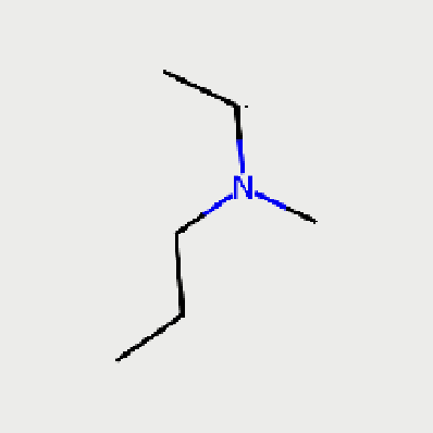 C[CH]N(C)CCC